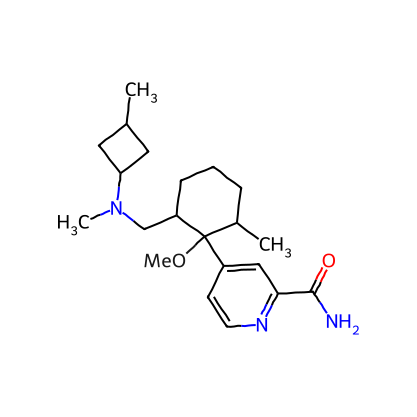 COC1(c2ccnc(C(N)=O)c2)C(C)CCCC1CN(C)C1CC(C)C1